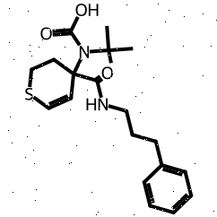 CC(C)(C)N(C(=O)O)C1(C(=O)NCCCc2ccccc2)C=CSCC1